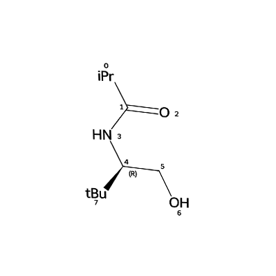 CC(C)C(=O)N[C@@H](CO)C(C)(C)C